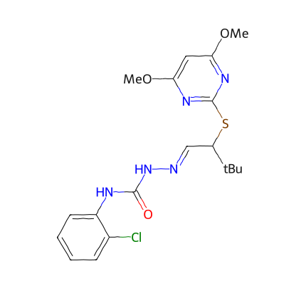 COc1cc(OC)nc(SC(/C=N/NC(=O)Nc2ccccc2Cl)C(C)(C)C)n1